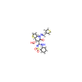 O=c1c(C2=NS(=O)(=O)c3ccccc3N2)c(O)c2sccc2n1N=Cc1ccsc1